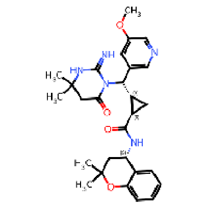 COc1cncc(C([C@@H]2C[C@H]2C(=O)N[C@H]2CC(C)(C)Oc3ccccc32)N2C(=N)NC(C)(C)CC2=O)c1